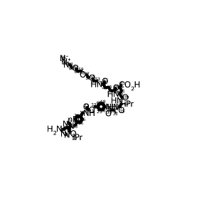 CCCCc1nc2c(N)nnc(OC(C)C)c2n1Cc1ccc(CNC(=O)OCc2ccc(NC(=O)[C@H](C)NC(=O)[C@@H](NC(=O)C(CCC(=O)O)NC(=O)CCCC(=O)NCCOCCOCCOCCN=[N+]=[N-])C(C)C)cc2)cc1